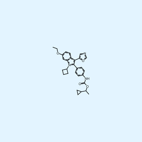 CCOc1ccc2c(-c3cnco3)c(-c3ccc(NC(=O)OC(C)C4CC4)cc3)n(C3CCC3)c2c1